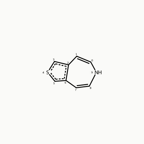 C1=Cc2cscc2C=CN1